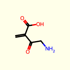 C=C(C(=O)O)C(=O)CN